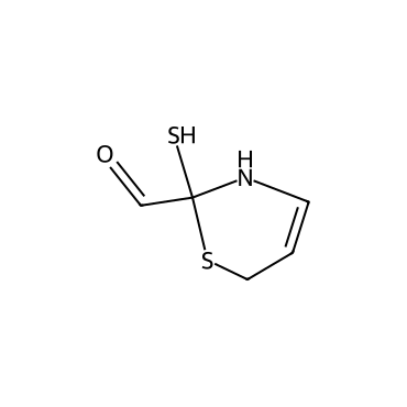 O=CC1(S)NC=CCS1